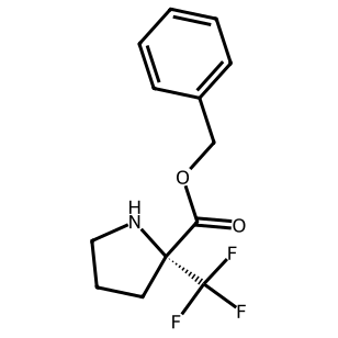 O=C(OCc1ccccc1)[C@@]1(C(F)(F)F)CCCN1